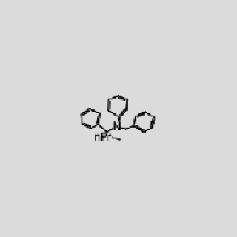 CCCC.c1ccc(CN(Cc2ccccc2)c2ccccc2)cc1